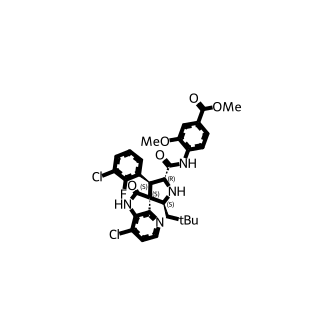 COC(=O)c1ccc(NC(=O)[C@@H]2N[C@@H](CC(C)(C)C)[C@@]3(C(=O)Nc4c(Cl)ccnc43)[C@H]2c2cccc(Cl)c2F)c(OC)c1